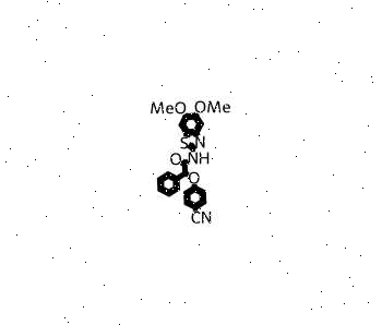 COc1cc2nc(NC(=O)C(Oc3ccc(C#N)cc3)c3ccccc3)sc2cc1OC